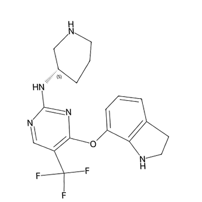 FC(F)(F)c1cnc(N[C@H]2CCCNC2)nc1Oc1cccc2c1NCC2